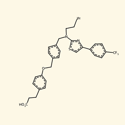 CC(C)CCN(Cc1ccc(COc2ccc(CCC(=O)O)cc2)cc1)c1nc(-c2ccc(C(F)(F)F)cc2)cs1